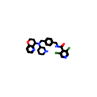 O=C(NCc1ccc(CN(C2CCCNC2)C2CCOc3cccnc32)cc1)c1c(Cl)cncc1Cl